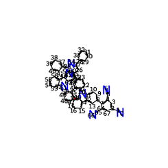 N#Cc1cc(C#N)c(-c2ccc3c(c2)c2ccccc2n3-c2ccc(-c3cc(-c4ccccc4)nc(-c4ccccc4)n3)cc2-c2ccccc2-n2c3ccccc3c3ccccc32)c(C#N)c1